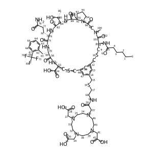 CCCCCC(=O)N[C@H]1CSCc2cc(CSCCNC(=O)CN3CCN(CC(=O)O)CCN(CC(=O)O)CCN(CC(=O)O)CC3)cc(c2)CSC[C@@H](C(=O)O)NC(=O)[C@H](Cc2ccccc2C(F)(F)F)NC(=O)[C@H](CCC(N)=O)NC(=O)[C@H]([C@@H](C)O)NC(=O)[C@@H]2CCCN2C(=O)CN(C)C1=O